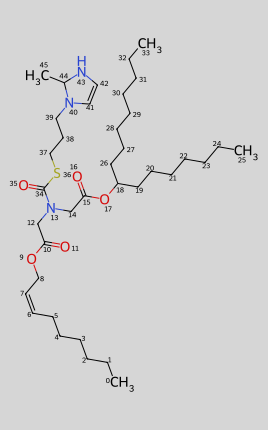 CCCCCC/C=C\COC(=O)CN(CC(=O)OC(CCCCCCC)CCCCCCCC)C(=O)SCCCN1C=CNC1C